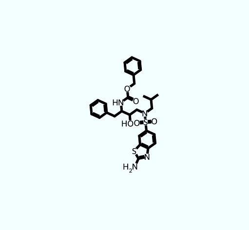 CC(C)CN(CC(O)C(Cc1ccccc1)NC(=O)OCc1ccccc1)S(=O)(=O)c1ccc2nc(N)sc2c1